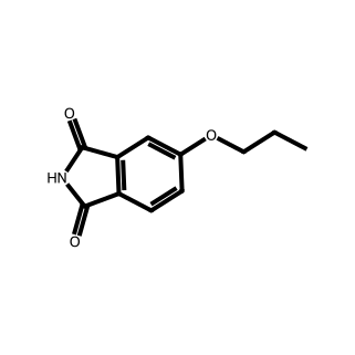 CCCOc1ccc2c(c1)C(=O)NC2=O